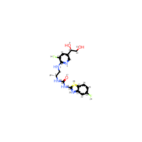 C[C@H](CNc1ncc([C@@H](O)CO)cc1F)NC(=O)Nc1nc2cc(F)ccc2s1